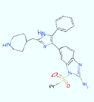 CC(C)S(=O)(=O)n1c(N)nc2ccc(-c3nc(C4CCNCC4)[nH]c3-c3ccccc3)cc21